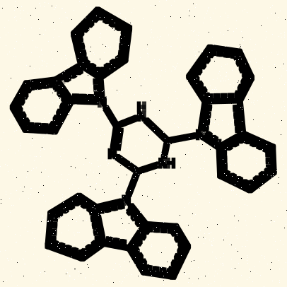 c1ccc2c(c1)c1ccccc1n2C1=NC(n2c3ccccc3c3ccccc32)NC(n2c3ccccc3c3ccccc32)N1